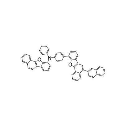 c1ccc(N(c2ccc(-c3cccc4c3oc3c5ccccc5c(-c5ccc6ccccc6c5)cc43)cc2)c2cccc3c2oc2c4ccccc4ccc32)cc1